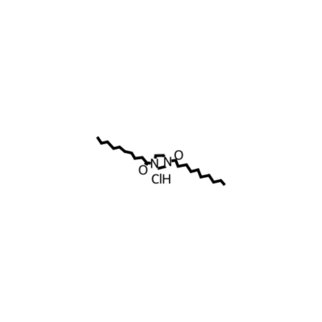 CCCCCCCCCC(=O)N1CCN(C(=O)CCCCCCCCC)CC1.Cl